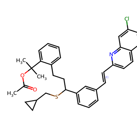 CC(=O)OC(C)(C)c1ccccc1CCC(SCC1CC1)c1cccc(/C=C/c2ccc3ccc(Cl)cc3n2)c1